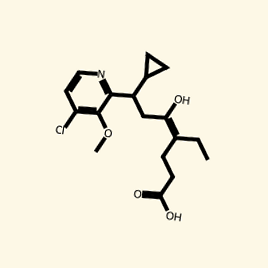 CCC(CCC(=O)O)=C(O)CC(c1nccc(Cl)c1OC)C1CC1